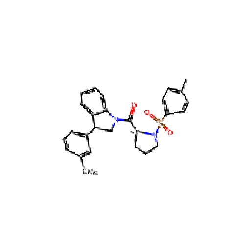 COc1cccc(C2CN(C(=O)[C@@H]3CCCN3S(=O)(=O)c3ccc(C)cc3)c3ccccc32)c1